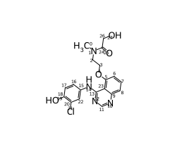 CN(CCOc1cccc2ncnc(Nc3ccc(O)c(Cl)c3)c12)C(=O)CO